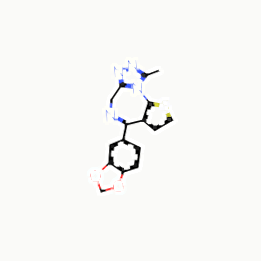 Cc1nnc2n1-c1sccc1C(c1ccc3c(c1)OCO3)=NC2